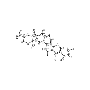 CON(C)C(=O)c1nccc([C@@H](C)Nc2ncnc3c2cc(C2(OC)CCN(C(C)=O)CC2)c(=O)n3C)c1F